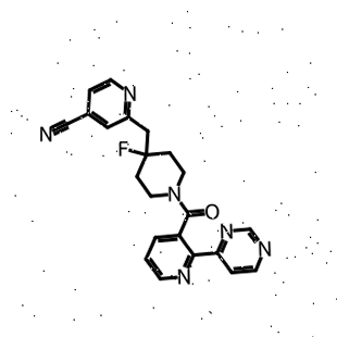 N#Cc1ccnc(CC2(F)CCN(C(=O)c3cccnc3-c3ccncn3)CC2)c1